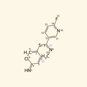 C=C(/C=C\C(=N)Cl)S/C(=N\C)c1ccc(F)nc1